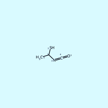 CC(S)N=C=O